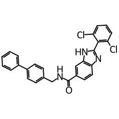 O=C(NCc1ccc(-c2ccccc2)cc1)c1ccc2nc(-c3c(Cl)cccc3Cl)[nH]c2c1